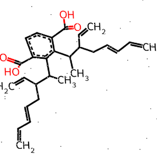 C=C/C=C/CC(C=C)C(C)c1c(C(=O)O)ccc(C(=O)O)c1C(C)C(C=C)C/C=C/C=C